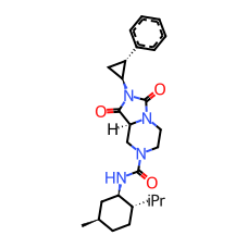 CC(C)[C@@H]1CC[C@@H](C)C[C@H]1NC(=O)N1CCN2C(=O)N([C@H]3C[C@@H]3c3ccccc3)C(=O)[C@@H]2C1